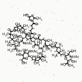 CC(=O)NC1C(OCC(C)(C)CC(C)(C)C(=O)NCN(C)CNC(=O)CCC(CCC(=O)NCC(C)CC(C)CNC(=O)C(C)CC(C)(C)COC(OC(CO)[C@@H](C)O)[C@H](CO)NC(C)=O)(CCC(=O)NCC(C)(C)CC(C)(C)CNC(=O)C(C)(C)CC(C)(C)COC(OC(CO)[C@@H](C)O)[C@H](CO)NC(C)=O)NC(=O)CCCC(=O)N2C[C@H](O)C[C@H]2C)OC(CO)C(O)C1O